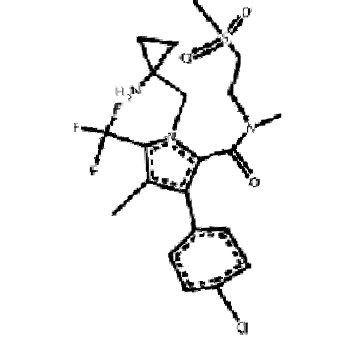 Cc1c(-c2ccc(Cl)cc2)c(C(=O)N(C)CCS(C)(=O)=O)n(CC2(N)CC2)c1C(F)(F)F